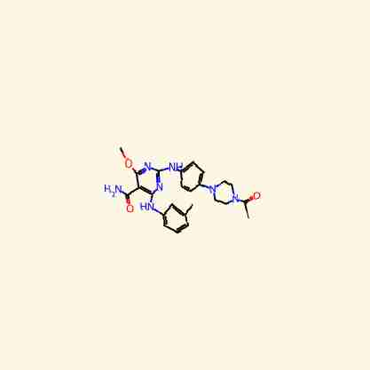 COc1nc(Nc2ccc(N3CCN(C(C)=O)CC3)cc2)nc(Nc2cccc(C)c2)c1C(N)=O